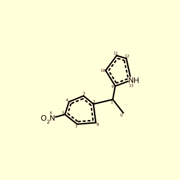 CC(c1ccc([N+](=O)[O-])cc1)c1ccc[nH]1